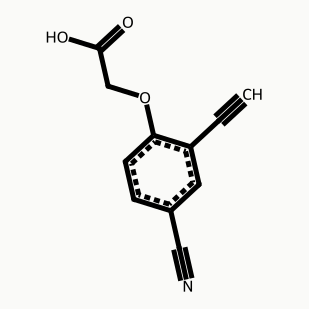 C#Cc1cc(C#N)ccc1OCC(=O)O